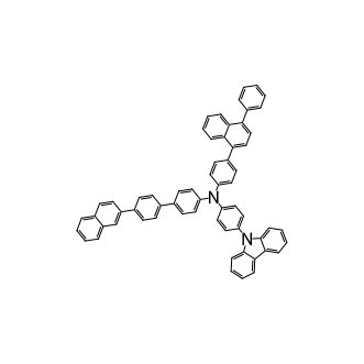 c1ccc(-c2ccc(-c3ccc(N(c4ccc(-c5ccc(-c6ccc7ccccc7c6)cc5)cc4)c4ccc(-n5c6ccccc6c6ccccc65)cc4)cc3)c3ccccc23)cc1